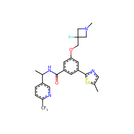 Cc1cnc(-c2cc(OCC3(F)CN(C)C3)cc(C(=O)NC(C)c3ccc(C(F)(F)F)nc3)c2)s1